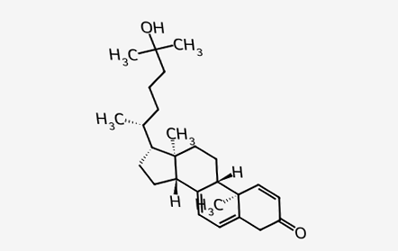 C[C@H](CCCC(C)(C)O)[C@H]1CC[C@H]2C3=CC=C4CC(=O)C=C[C@]4(C)[C@H]3CC[C@]12C